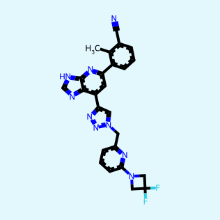 Cc1c(C#N)cccc1-c1cc(-c2cn(Cc3cccc(N4CC(F)(F)C4)n3)nn2)c2nc[nH]c2n1